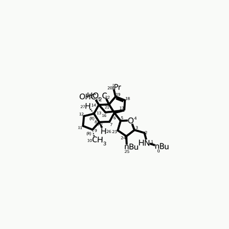 CCCCNCC1OC(C23C[C@@H]4[C@H](C)CC[C@H]4C4(C=O)CC2C=C(C(C)C)C34C(=O)O)CC1CCCC